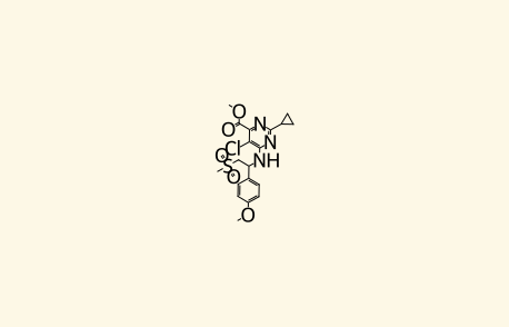 COC(=O)c1nc(C2CC2)nc(NC(CS(C)(=O)=O)c2ccc(OC)cc2)c1Cl